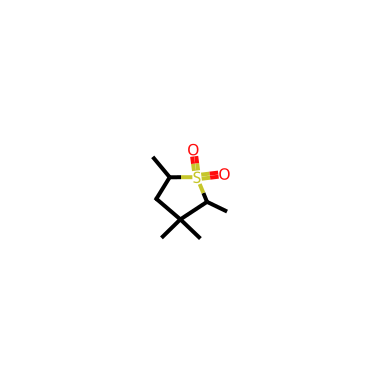 CC1CC(C)(C)C(C)S1(=O)=O